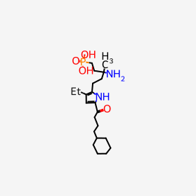 CCc1cc(C(=O)CCCC2CCCCC2)[nH]c1CCC(C)(N)CCP(=O)(O)O